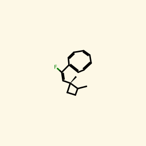 CC1CC[C@]1(C)\C=C(F)/C1=C/C=C\C=C/C=C\1